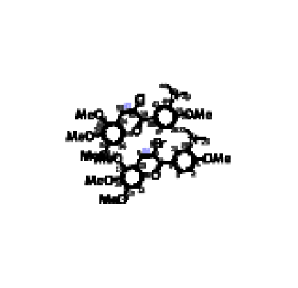 COc1ccc(C(=O)/C(Br)=C\c2ccc(OC)c(OC)c2OC)cc1N(C)C.COc1ccc(C(=O)/C(Cl)=C\c2ccc(OC)c(OC)c2OC)cc1N(C)C